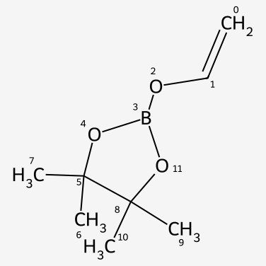 C=COB1OC(C)(C)C(C)(C)O1